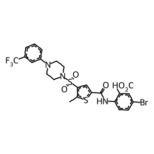 Cc1sc(C(=O)Nc2ccc(Br)cc2C(=O)O)cc1S(=O)(=O)N1CCN(c2cccc(C(F)(F)F)c2)CC1